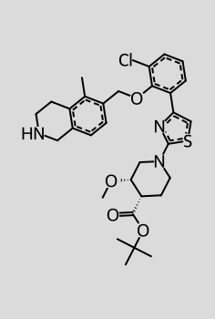 CO[C@@H]1CN(c2nc(-c3cccc(Cl)c3OCc3ccc4c(c3C)CCNC4)cs2)CC[C@@H]1C(=O)OC(C)(C)C